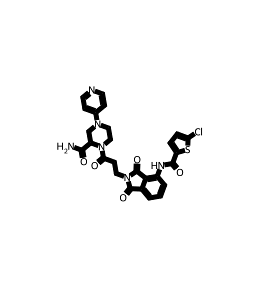 NC(=O)C1CN(c2ccncc2)CCN1C(=O)CCN1C(=O)c2cccc(NC(=O)c3ccc(Cl)s3)c2C1=O